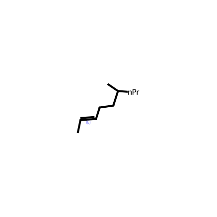 [CH2]CCC(C)CC/C=C/C